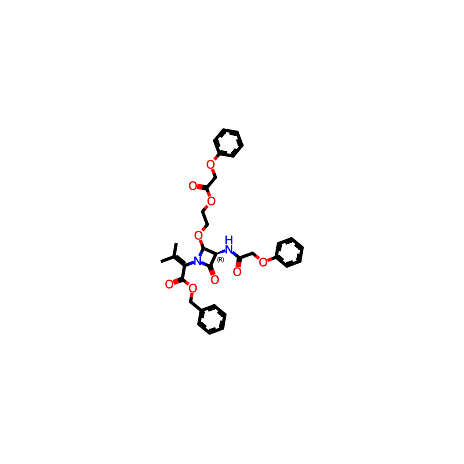 CC(C)=C(C(=O)OCc1ccccc1)N1C(=O)[C@H](NC(=O)COc2ccccc2)C1OCCOC(=O)COc1ccccc1